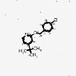 CC(C)(C)c1ccnc(OCc2ccc(Cl)cc2)c1